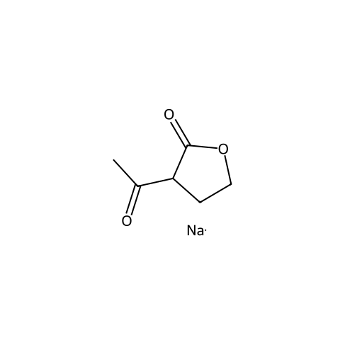 CC(=O)C1CCOC1=O.[Na]